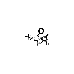 Cc1nc(Cl)c(CN(C)CCO[Si](C)(C)C(C)(C)C)c(OCc2ccccc2)n1